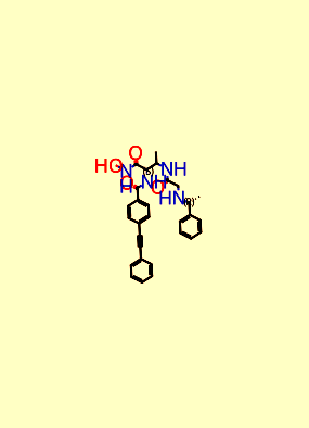 CC(NC(=O)CN[C@H](C)c1ccccc1)[C@H](NC(=O)c1ccc(C#Cc2ccccc2)cc1)C(=O)NO